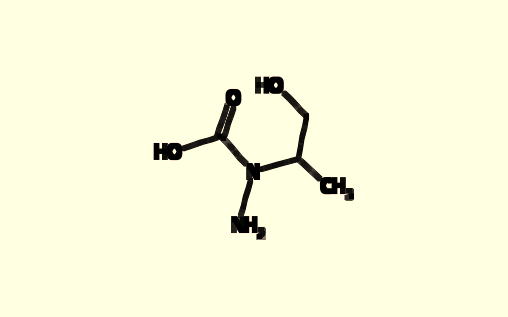 CC(CO)N(N)C(=O)O